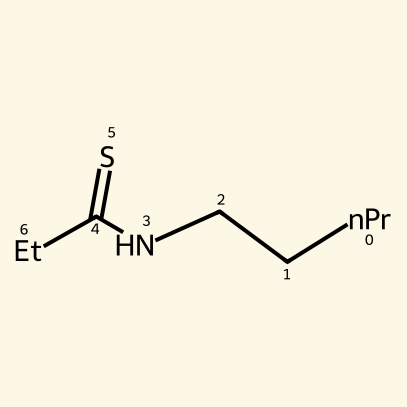 CCCCCNC(=S)CC